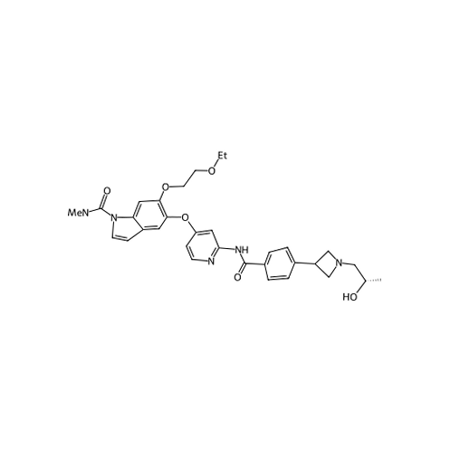 CCOCCOc1cc2c(ccn2C(=O)NC)cc1Oc1ccnc(NC(=O)c2ccc(C3CN(C[C@H](C)O)C3)cc2)c1